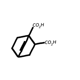 O=C(O)C1CC2C=CC1(C(=O)O)CC2